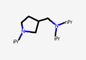 CCCN(CC1CCN(C(C)C)C1)C(C)C